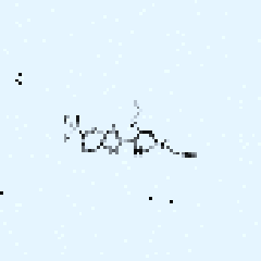 C#CCOc1cnc(-c2nc3cc(C(F)(F)F)ncc3n2C)c(SCC)c1